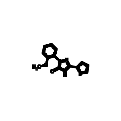 COc1ccccc1-n1nc(-c2cccs2)[nH]c1=O